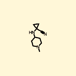 CN1CCC(NC2(C#N)CC2)CC1